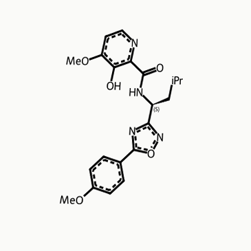 COc1ccc(-c2nc([C@H](CC(C)C)NC(=O)c3nccc(OC)c3O)no2)cc1